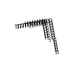 O.O.O.O.O.O.O.O.O.O.O.O.O.O.O.[Ti].[Ti].[Ti].[Ti].[Ti].[Ti].[Ti].[Ti].[Ti].[Ti].[Ti].[Ti].[Ti]